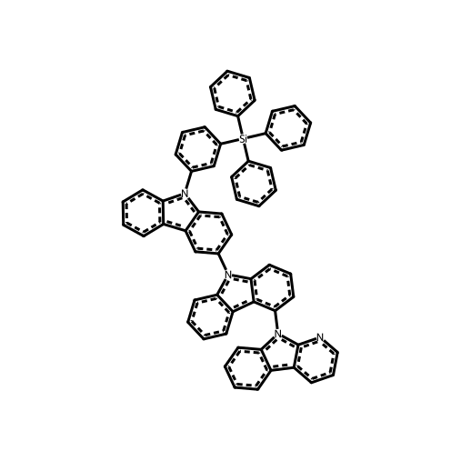 c1ccc([Si](c2ccccc2)(c2ccccc2)c2cccc(-n3c4ccccc4c4cc(-n5c6ccccc6c6c(-n7c8ccccc8c8cccnc87)cccc65)ccc43)c2)cc1